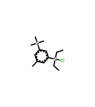 CC[Si](Cl)(CC)c1cc(C)cc([Si](C)(C)C)c1